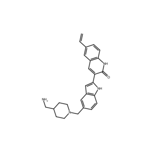 C=Cc1ccc2[nH]c(=O)c(-c3cc4cc(CN5CCC(CN)CC5)ccc4[nH]3)cc2c1